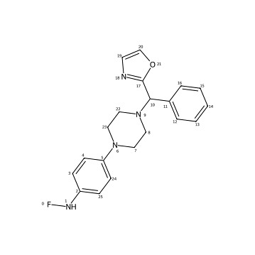 FNc1ccc(N2CCN(C(c3ccccc3)c3ncco3)CC2)cc1